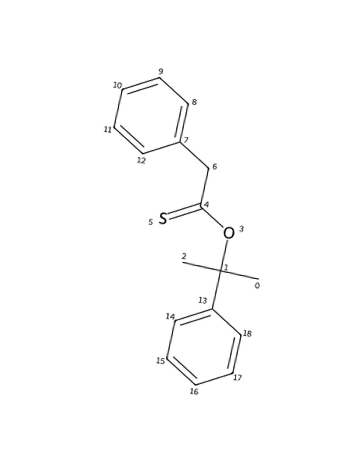 CC(C)(OC(=S)Cc1ccccc1)c1ccccc1